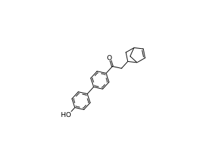 O=C(CC1CC2C=CC1C2)c1ccc(-c2ccc(O)cc2)cc1